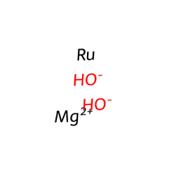 [Mg+2].[OH-].[OH-].[Ru]